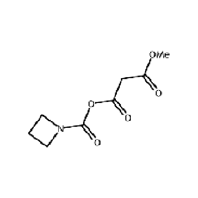 COC(=O)CC(=O)OC(=O)N1CCC1